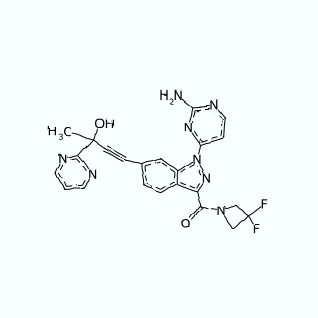 CC(O)(C#Cc1ccc2c(C(=O)N3CC(F)(F)C3)nn(-c3ccnc(N)n3)c2c1)c1ncccn1